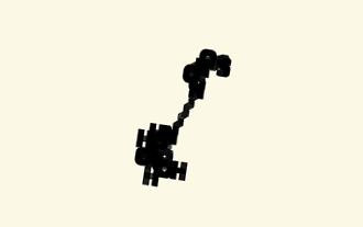 O=C(Cc1cccs1)N1CCOC2(CCN(CCCCCCCCCNC[C@H](O)c3ccc(O)c4[nH]c(=O)sc34)CC2)C1